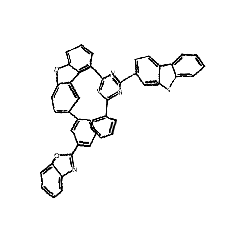 c1ccc(-c2nc(-c3ccc4c(c3)sc3ccccc34)nc(-c3cccc4oc5ccc(-c6cccc(-c7nc8ccccc8o7)c6)cc5c34)n2)cc1